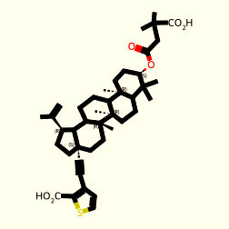 C=C(C)[C@@H]1CC[C@]2(C#Cc3ccsc3C(=O)O)CC[C@]3(C)C(CCC4[C@@]5(C)CC[C@H](OC(=O)CC(C)(C)C(=O)O)C(C)(C)C5CC[C@]43C)C12